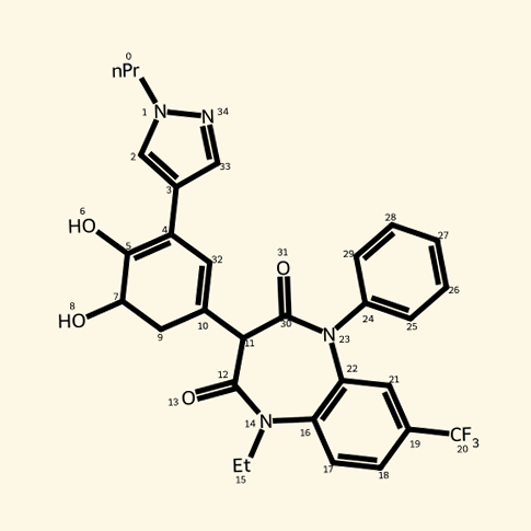 CCCn1cc(C2=C(O)C(O)CC(C3C(=O)N(CC)c4ccc(C(F)(F)F)cc4N(c4ccccc4)C3=O)=C2)cn1